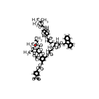 C=CCOC(=O)[C@H]1O[C@@H](Oc2ccc(COC(=O)Oc3ccc([N+](=O)[O-])cc3)cc2CNC(=O)CCNC(=O)[C@H](CCCC(=O)N[C@H]2CO[C@H]3[C@@H]2OC[C@@H]3NC(=O)OC(C)(C)C)NC(=O)OCC2c3ccccc3-c3ccccc32)[C@H](OC(C)=O)[C@@H](OC(C)=O)[C@@H]1OC(C)=O